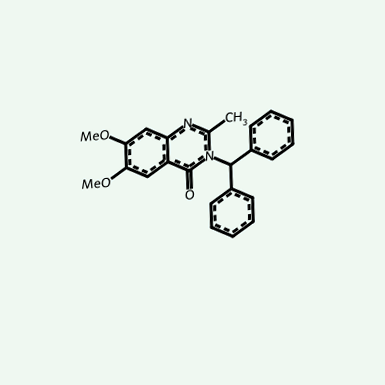 COc1cc2nc(C)n(C(c3ccccc3)c3ccccc3)c(=O)c2cc1OC